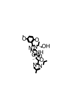 COc1ccc2c(c1)-c1nnc(NS(=O)(=O)[C@@H](C)[C@@H](OC(C)C)c3ncc(C)cn3)n1[C@@H](CO)CO2